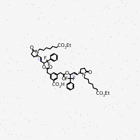 CCOC(=O)CCCCCCN1C(=O)CC[C@@H]1/C=C/C(OC(=O)Cc1cc(CC(=O)OC(/C=C/[C@H]2CCC(=O)N2CCCCCCC(=O)OCC)C(F)(F)c2ccccc2)cc(C(=O)O)c1)C(F)(F)c1ccccc1